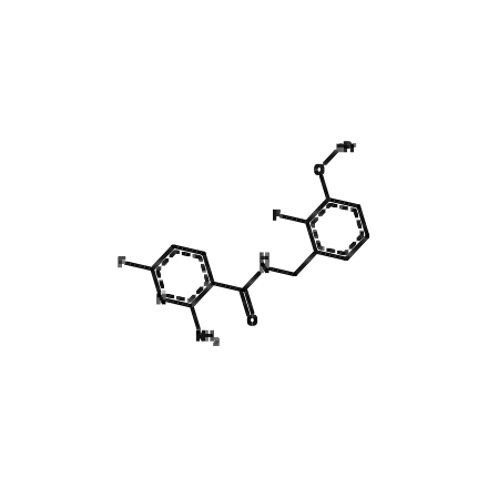 CCCOc1cccc(CNC(=O)c2ccc(F)nc2N)c1F